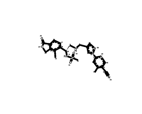 Cc1cc(-n2cc(CNC[C@H](NS(C)(=O)=O)c3ccc4c(c3C)COC4=O)cn2)ncc1C#N